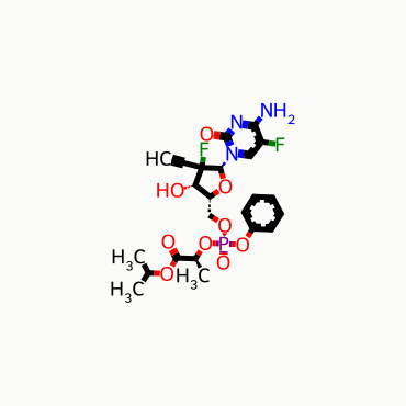 C#CC1(F)[C@@H](O)[C@@H](CO[P@](=O)(Oc2ccccc2)O[C@@H](C)C(=O)OC(C)C)O[C@H]1n1cc(F)c(N)nc1=O